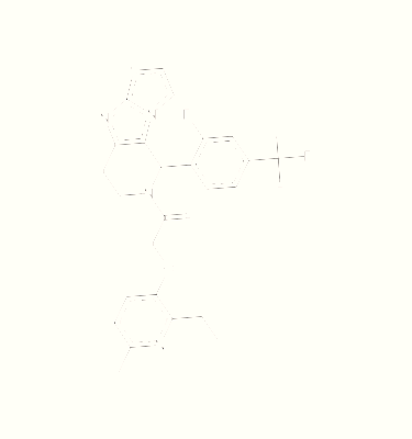 CCc1nc(C)ccc1OCC(=O)N1CCc2nc3sccn3c2C1c1ccc(C(F)(F)F)cc1F